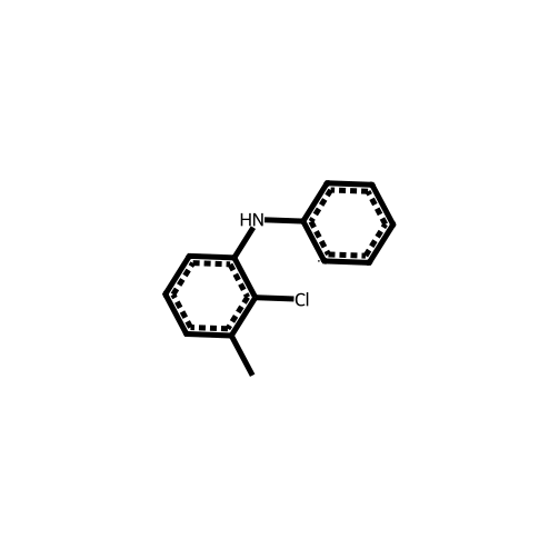 Cc1cccc(Nc2[c]cccc2)c1Cl